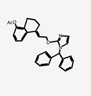 CC(=O)Oc1cccc2c1CCCC2=CCOc1nccn1C(c1ccccc1)c1ccccc1